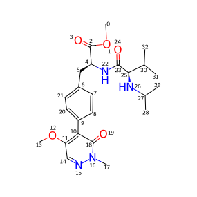 COC(=O)[C@H](Cc1ccc(-c2c(OC)cnn(C)c2=O)cc1)NC(=O)[C@H](NC(C)C)C(C)C